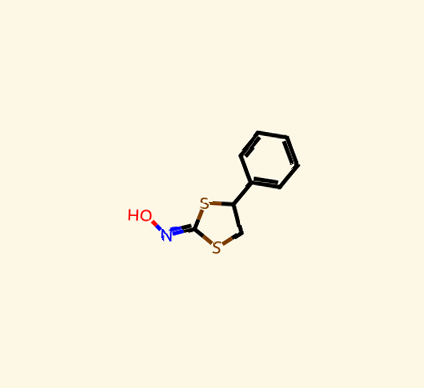 ON=C1SCC(c2ccccc2)S1